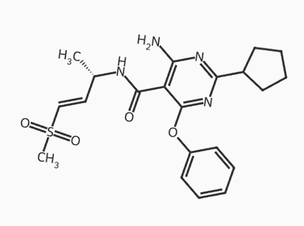 C[C@@H](/C=C/S(C)(=O)=O)NC(=O)c1c(N)nc(C2CCCC2)nc1Oc1ccccc1